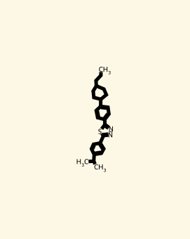 CCCC1CCC(c2ccc(-c3nnc(-c4ccc(C(C)C)cc4)s3)cc2)CC1